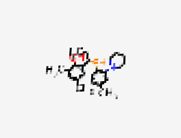 CCC(Pc1ccc(C)cc1N1CCCCC1)c1cc(C)cc(C)c1O